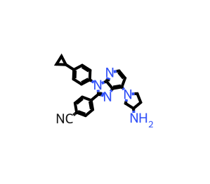 N#Cc1ccc(-c2nc3c(N4CCC(N)C4)ccnc3n2-c2ccc(C3CC3)cc2)cc1